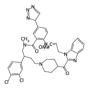 C=CCn1c(C(=O)C2CCN(CCC(CN(C)C(=O)c3cc(C4C=NN=N4)ccc3OC)c3ccc(Cl)c(Cl)c3)CC2)nc2ccccc21